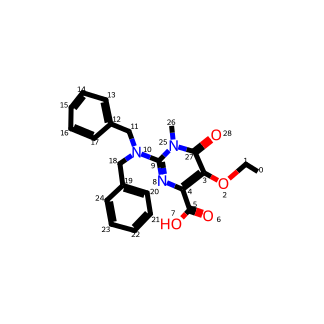 CCOc1c(C(=O)O)nc(N(Cc2ccccc2)Cc2ccccc2)n(C)c1=O